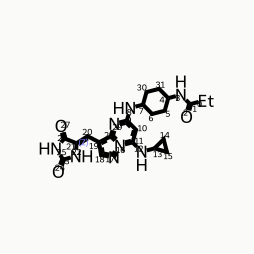 CCC(=O)NC1CCC(Nc2cc(NC3CC3)n3ncc(/C=C4\NC(=O)NC4=O)c3n2)CC1